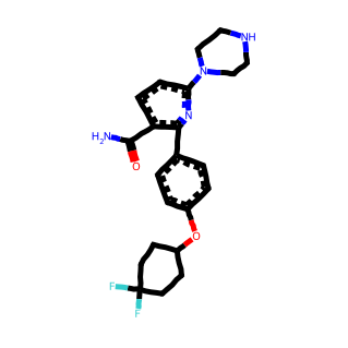 NC(=O)c1ccc(N2CCNCC2)nc1-c1ccc(OC2CCC(F)(F)CC2)cc1